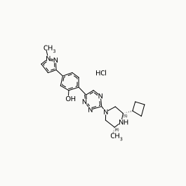 C[C@@H]1CN(c2ncc(-c3ccc(-c4ccn(C)n4)cc3O)nn2)C[C@H](C2CCC2)N1.Cl